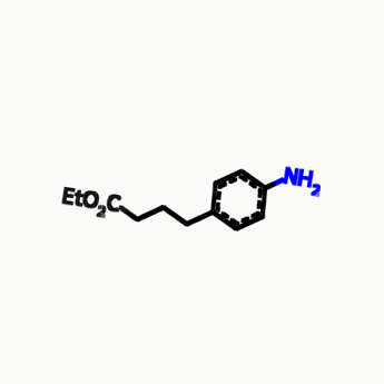 [CH2]COC(=O)CCCc1ccc(N)cc1